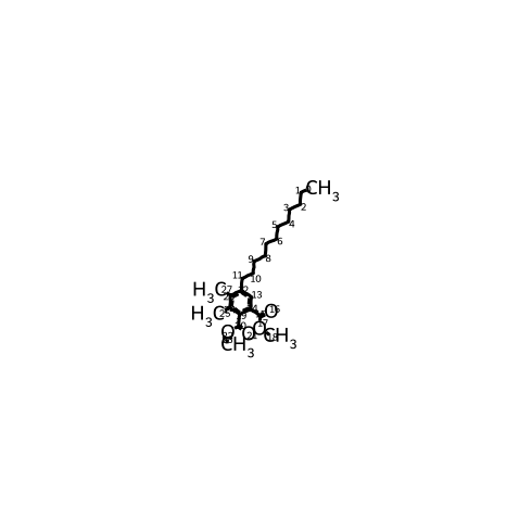 CCCCCCCCCCCCc1cc(C(=O)OC)c(C(=O)OC)c(C)c1C